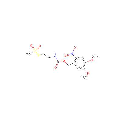 COc1cc(COC(=O)NCCSS(C)(=O)=O)c([N+](=O)[O-])cc1OC